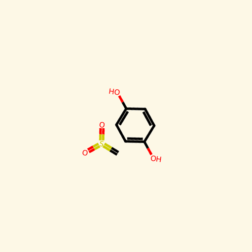 C=S(=O)=O.Oc1ccc(O)cc1